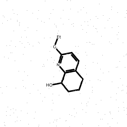 CCOc1ccc2c(n1)C(O)CCC2